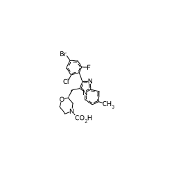 Cc1ccn2c(C[C@H]3CN(C(=O)O)CCO3)c(-c3c(F)cc(Br)cc3Cl)nc2c1